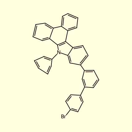 Brc1ccc(-c2cccc(-c3ccc4c5c6ccccc6c6ccccc6c5n(-c5ccccc5)c4c3)c2)cc1